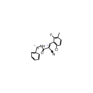 Cc1ccc(Cl)c(/C=C(\C#N)C(=O)N[C@@H](C)c2ccccc2)c1F